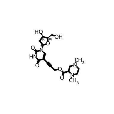 CN1CCN(C)C(C(=O)OCC#Cc2cn([C@H]3C[C@@H](O)[C@@H](CO)O3)c(=O)[nH]c2=O)C1